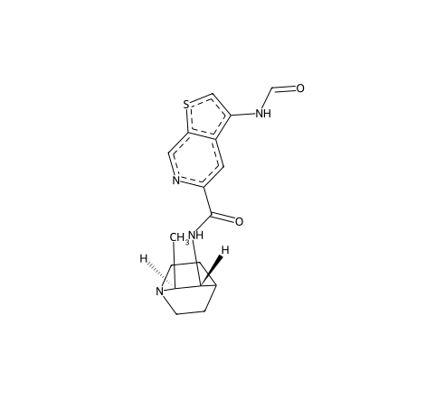 C[C@H]1[C@H](NC(=O)c2cc3c(NC=O)csc3cn2)C2CCN1CC2